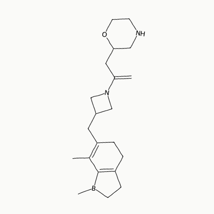 C=C(CC1CNCCO1)N1CC(CC2=C(C)C3=C(CCB3C)CC2)C1